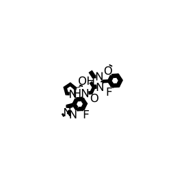 C=C/N=C(\N=C(/C)C(=O)Nc1cc(F)c2nn(C)cc2c1N1CCC[C@@H]1CO)c1c(F)cccc1OC